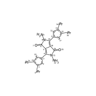 CC(C)c1cc(C2=C3C(=O)N(N)C(c4cc(C(C)C)c(C(C)C)s4)=C3C(=O)N2N)sc1C(C)C